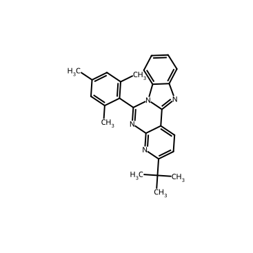 Cc1cc(C)c(-c2nc3nc(C(C)(C)C)ccc3c3nc4ccccc4n23)c(C)c1